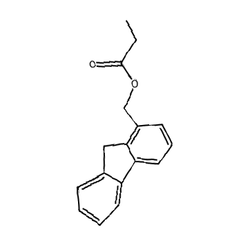 CCC(=O)OCc1cccc2c1Cc1ccccc1-2